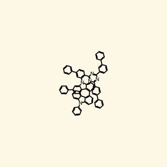 c1ccc(-c2ccc(-c3nc(-c4cccc(-c5ccccc5)c4)nc(-c4ccc(-c5ccccc5)cc4-n4c5cc(-c6ccccc6)ccc5c5c(-c6cccc7c6c6ccccc6n7-c6ccccc6)cccc54)n3)cc2)cc1